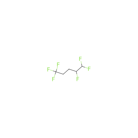 FC(F)C(F)CCC(F)(F)F